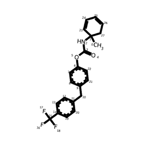 CC1(NC(=O)Oc2ccc(Cc3ccc(C(F)(F)F)cc3)cc2)C=CC=CC1